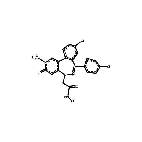 CCNC(=O)CC1N=C(c2ccc(Cl)cc2)c2cc(O)ccc2-c2cn(C)c(=O)cc21